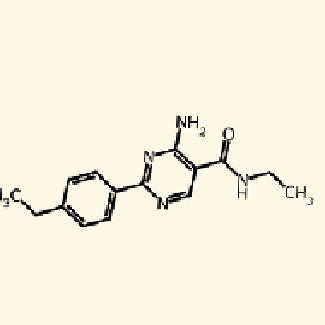 CCNC(=O)c1cnc(-c2ccc(CC)cc2)nc1N